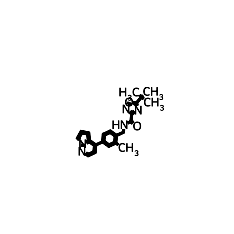 Cc1cc(-c2ccnn3cccc23)ccc1CNC(=O)c1noc(C(C)(C)C)n1